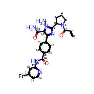 C=CC(=O)N1CCCC1c1nc(-c2ccc(C(=O)Nc3cc(CC)ccn3)cc2)c(C(N)=O)n1N